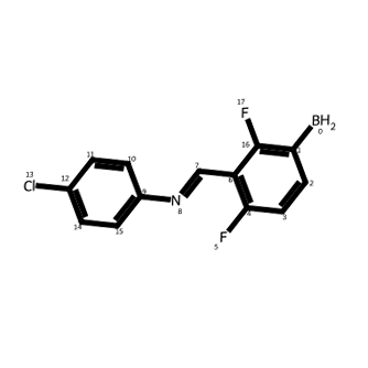 Bc1ccc(F)c(/C=N/c2ccc(Cl)cc2)c1F